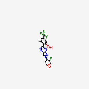 Cc1cc(C(F)(F)F)cc(O)c1-c1cnc2cn([C@@H]3CCOC[C@@H]3F)nc2n1